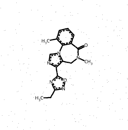 CCc1noc(-c2ncn3c2CN(C)C(=O)c2cccc(C)c2-3)n1